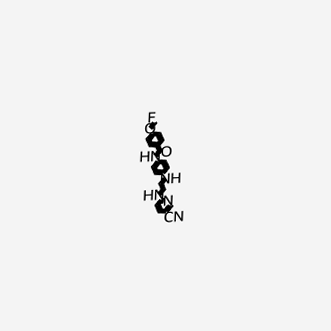 N#Cc1ccc(NCCNc2ccc(NC(=O)c3ccc(OCF)cc3)cc2)nc1